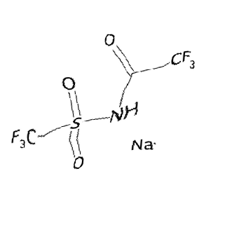 O=C(NS(=O)(=O)C(F)(F)F)C(F)(F)F.[Na]